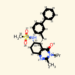 Cc1nc2c(c(=O)n1C(C)C)[C@@H](Cc1cccc(-c3ccccc3)c1)[C@@H](NS(C)(=O)=O)CC2